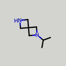 CC(C)N1CC2(CNC2)C1